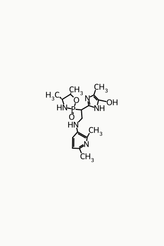 Cc1ccc(NCC(c2nc(C)c(O)[nH]2)P2(=O)N[C@@H](C)[C@H](C)O2)c(C)n1